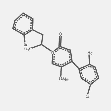 COc1cn(C(C)Cc2ccccc2Br)c(=O)cc1-c1cc(Cl)ccc1C(C)=O